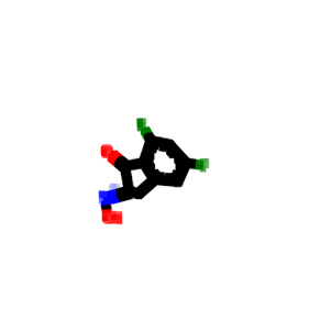 O=C1/C(=N/O)Cc2cc(F)cc(F)c21